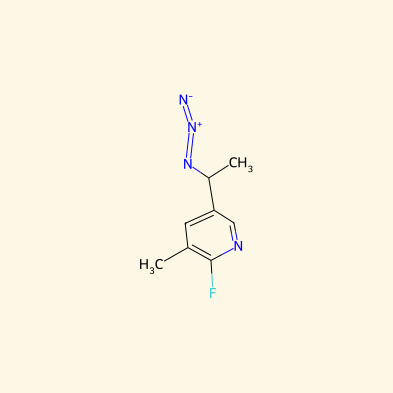 Cc1cc(C(C)N=[N+]=[N-])cnc1F